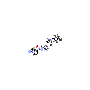 O=C(NCC1CCCN(C2CCN(Cc3ccc(Cl)c(Cl)c3)CC2)C1)c1cccc2[nH]ccc12